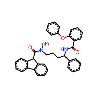 CCCN(CCCC(NC(=O)c1ccccc1Oc1ccccc1)c1ccccc1)C(=O)C1c2ccccc2-c2ccccc21